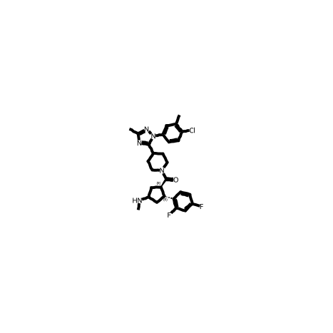 CNC1C[C@@H](C(=O)N2CCC(c3nc(C)nn3-c3ccc(Cl)c(C)c3)CC2)[C@H](c2ccc(F)cc2F)C1